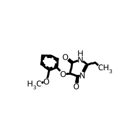 CCC1=NC(=O)C(Oc2ccccc2OC)C(=O)N1